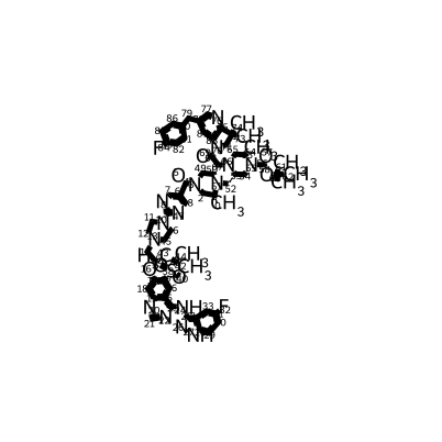 C[C@@H]1CN(C(=O)c2cnc(N3CCN(CCOc4cc5ncnc(Nc6n[nH]c7ccc(F)cc67)c5cc4S(=O)(=O)C(C)(C)C)CC3)nc2)CCN1C[C@H]1CN(C(=O)OC(C)(C)C)[C@@H](C)CN1CC(=O)N1CC(C)(C)c2ncc(Cc3ccc(F)cc3)cc21